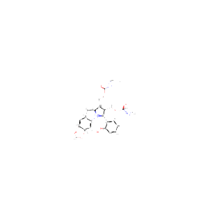 CNC(=O)OCc1c(COC(=O)NC)c(-c2ccccc2OC)n2c1Cc1cc3c(cc1-2)OCO3